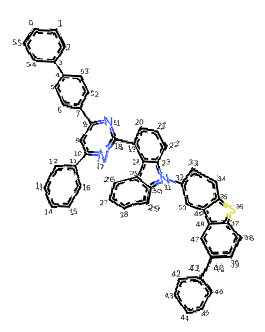 c1ccc(-c2ccc(-c3cc(-c4ccccc4)nc(-c4cccc5c4c4ccccc4n5-c4ccc5sc6ccc(-c7ccccc7)cc6c5c4)n3)cc2)cc1